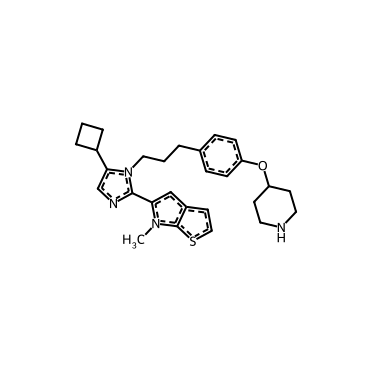 Cn1c(-c2ncc(C3CCC3)n2CCCc2ccc(OC3CCNCC3)cc2)cc2ccsc21